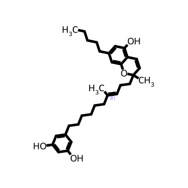 CCCCCc1cc(O)c2c(c1)OC(C)(CC/C=C(\C)CCCCCCc1cc(O)cc(O)c1)C=C2